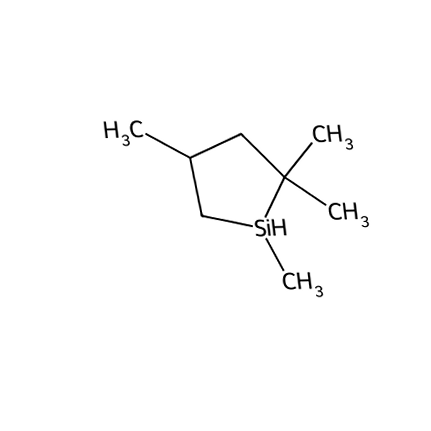 CC1C[SiH](C)C(C)(C)C1